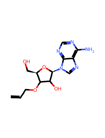 C=CCOC1C(O)[C@H](n2cnc3c(N)ncnc32)O[C@@H]1CO